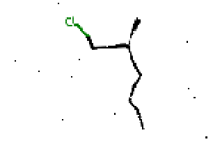 CCC[C@H](C)CCl